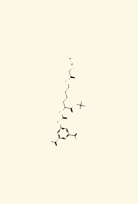 CC(C)(C)OC(=O)C(CCCCNC(=O)CN=[N+]=N)NC(=O)Nc1cc(C(=O)[O-])cc(C(=O)O)c1